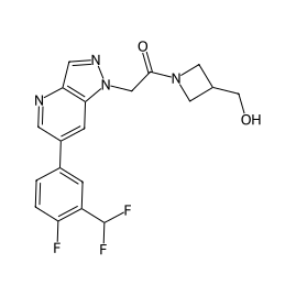 O=C(Cn1ncc2ncc(-c3ccc(F)c(C(F)F)c3)cc21)N1CC(CO)C1